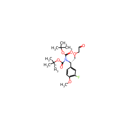 COc1ccc([C@@H](COCC=O)N(C(=O)OC(C)(C)C)C(=O)OC(C)(C)C)cc1F